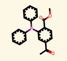 COC(=O)c1ccc(C(C)=O)cc1P(c1ccccc1)c1ccccc1